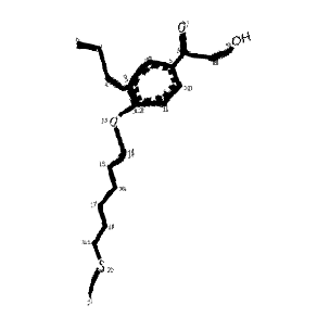 C=CCc1cc(C(=O)CO)ccc1OCCCCCCSC